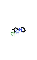 CC1CC=C(N2CCCCCC2)N=C1Cl